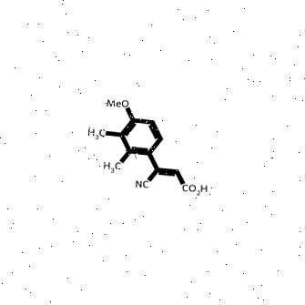 COc1ccc(C(C#N)=CC(=O)O)c(C)c1C